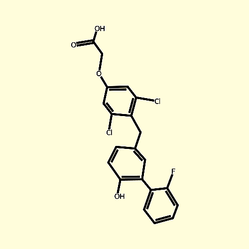 O=C(O)COc1cc(Cl)c(Cc2ccc(O)c(-c3ccccc3F)c2)c(Cl)c1